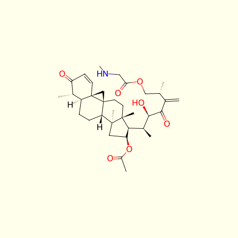 C=C(C(=O)[C@H](O)[C@@H](C)[C@H]1[C@@H](OC(C)=O)C[C@@]2(C)[C@@H]3CC[C@H]4[C@H](C)C(=O)C=C[C@@]45C[C@@]35CC[C@]12C)[C@@H](C)COC(=O)CNC